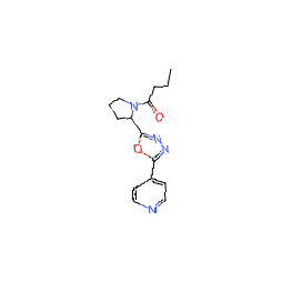 CCCC(=O)N1CCCC1c1nnc(-c2ccncc2)o1